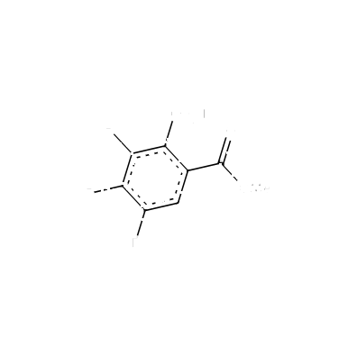 COC(=O)c1cc(F)c(F)c(F)c1C(=O)O